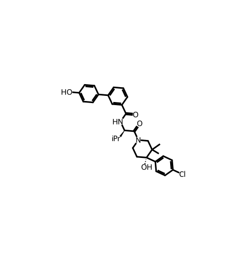 CC(C)[C@@H](NC(=O)c1cccc(-c2ccc(O)cc2)c1)C(=O)N1CC[C@](O)(c2ccc(Cl)cc2)C(C)(C)C1